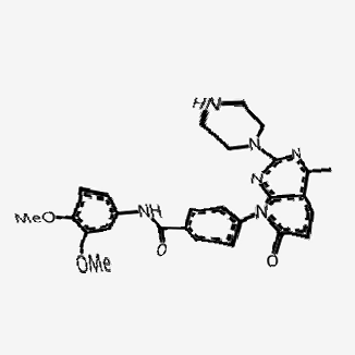 COc1ccc(NC(=O)c2ccc(-n3c(=O)ccc4c(C)nc(N5CCNCC5)nc43)cc2)cc1OC